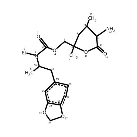 CCN(C(=O)OCC1(C)CC(C)C(N)C(=O)O1)C(C)Cc1ccc2c(c1)OCO2